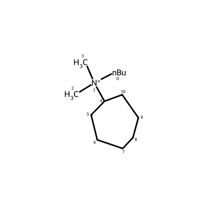 CCCC[N+](C)(C)C1CCCCCC1